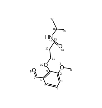 COc1cccc(C=O)c1OCCC(=O)NC(C)C